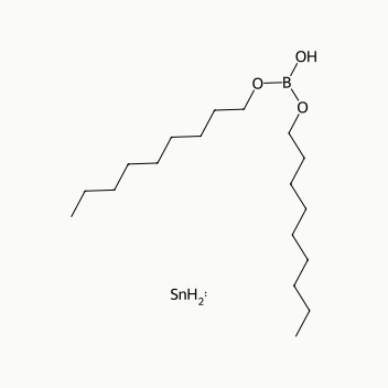 CCCCCCCCCOB(O)OCCCCCCCCC.[SnH2]